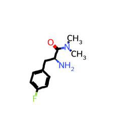 CN(C)C(=O)[C@@H](N)Cc1ccc(F)cc1